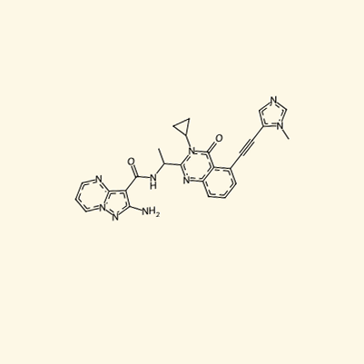 CC(NC(=O)c1c(N)nn2cccnc12)c1nc2cccc(C#Cc3cncn3C)c2c(=O)n1C1CC1